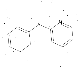 [CH]1CC=CC=C1Sc1ccccn1